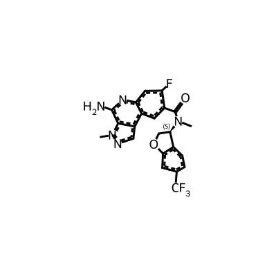 CN(C(=O)c1cc2c(cc1F)nc(N)c1c2cnn1C)[C@@H]1COc2cc(C(F)(F)F)ccc21